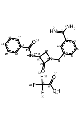 N=C(N)c1cccc(CN2C[C@H](NC(=O)c3ccccc3)C2=O)c1.O=C(O)C(F)(F)F